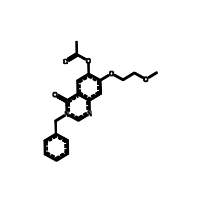 COCCOc1cc2ncn(Cc3ccccc3)c(=O)c2cc1OC(C)=O